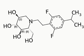 CC(C)c1cc(F)c(CCN2C[C@H](O)[C@@H](O)[C@H](O)[C@H]2CO)c(F)c1